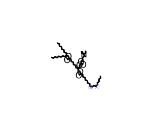 CCCCC/C=C\C/C=C\CCCCCCCC(=O)OCC(CCCCCCC(=O)OC(CCCCCCCC)CCCCCCCC)COC(=O)OCCCN(CC)CC